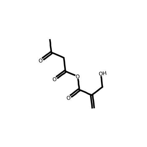 C=C(CO)C(=O)OC(=O)CC(C)=O